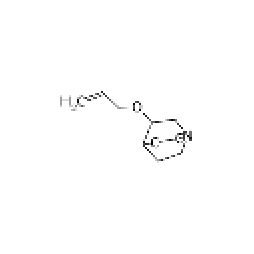 C=CCOC1CN2CCC1CC2